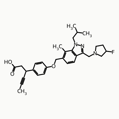 CC#CC(CC(=O)O)c1ccc(OCc2ccc3c(CN4CCC(F)C4)nn(CC(C)C)c3c2C)cc1